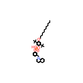 CCCCCCCCCCCCOc1cc(C(C)(C)C)c(OP(=O)(O)Oc2cccc(CN3C=CC=C4CC=CC=C43)c2)cc1C(C)(C)C